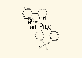 Cc1ccccc1-c1nc(NS(=O)(=O)c2ncccc2C2C=NC=CN2)ccc1C(F)(F)F